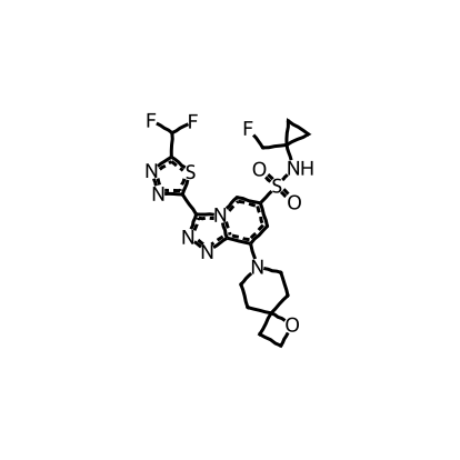 O=S(=O)(NC1(CF)CC1)c1cc(N2CCC3(CCO3)CC2)c2nnc(-c3nnc(C(F)F)s3)n2c1